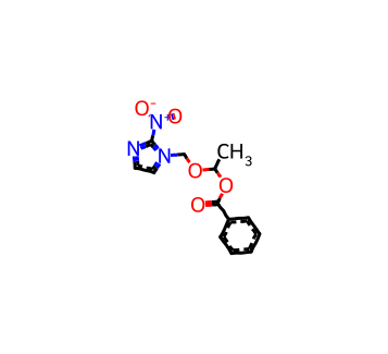 CC(OCn1ccnc1[N+](=O)[O-])OC(=O)c1ccccc1